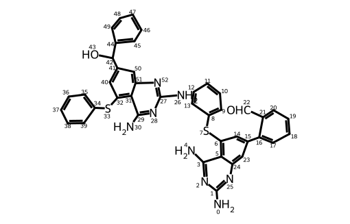 Nc1nc(N)c2c(Sc3ccccc3)cc(-c3ccccc3C=O)cc2n1.Nc1nc(N)c2c(Sc3ccccc3)cc(C(O)c3ccccc3)cc2n1